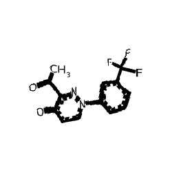 CC(=O)c1nn(-c2cccc(C(F)(F)F)c2)ccc1=O